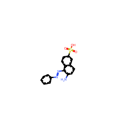 Nc1ccc2cc(S(=O)(=O)O)ccc2c1/N=N/c1ccccc1